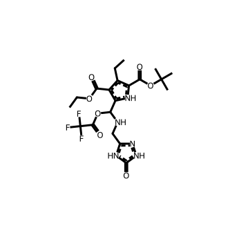 CCOC(=O)c1c(C(NCc2n[nH]c(=O)[nH]2)OC(=O)C(F)(F)F)[nH]c(C(=O)OC(C)(C)C)c1CC